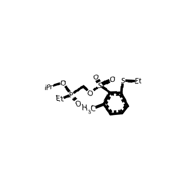 CCSc1cccc(C)c1S(=O)(=O)OCP(=O)(CC)OC(C)C